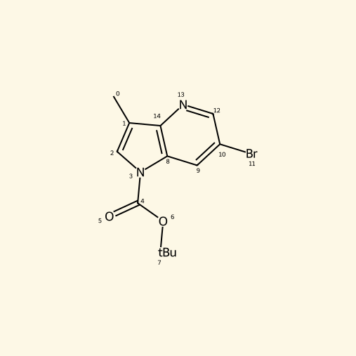 Cc1cn(C(=O)OC(C)(C)C)c2cc(Br)cnc12